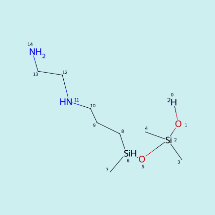 [2H]O[Si](C)(C)O[SiH](C)CCCNCCN